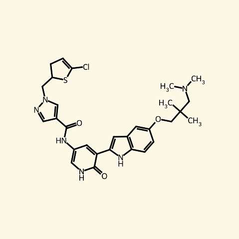 CN(C)CC(C)(C)COc1ccc2[nH]c(-c3cc(NC(=O)c4cnn(CC5CC=C(Cl)S5)c4)c[nH]c3=O)cc2c1